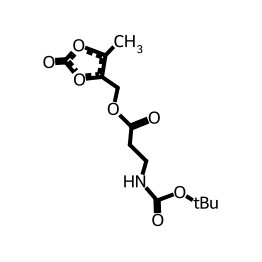 Cc1oc(=O)oc1COC(=O)CCNC(=O)OC(C)(C)C